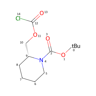 CC(C)(C)OC(=O)N1CCCC[C@@H]1COC(=O)Cl